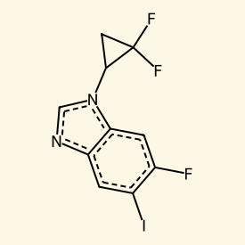 Fc1cc2c(cc1I)ncn2C1CC1(F)F